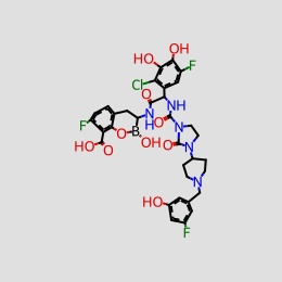 O=C(O)c1c(F)ccc2c1OB(O)C(NC(=O)C(NC(=O)N1CCN(C3CCN(Cc4cc(O)cc(F)c4)CC3)C1=O)c1cc(F)c(O)c(O)c1Cl)C2